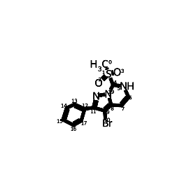 CS(=O)(=O)C1NC=Cc2c(Br)c(-c3ccccc3)nn21